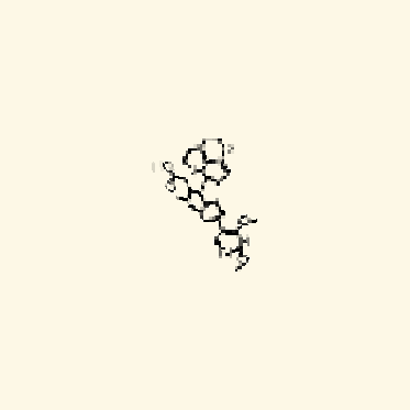 COc1ncc(-c2ccc3c(-c4ccc5c6c(ccnc46)CCO5)c(CC(=O)O)c(C)cc3c2)c(OC)n1